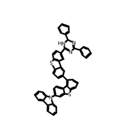 c1ccc(C2=NC(c3ccccc3)NC(c3ccc4sc5ccc(-c6cccc7sc8cc(-n9c%10ccccc%10c%10ccccc%109)ccc8c67)cc5c4c3)=N2)cc1